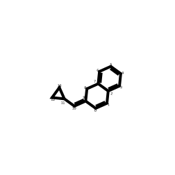 C1=Cc2ccccc2CC1=CC1CC1